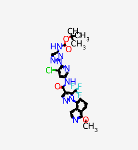 COc1nccc2c(-n3ncc(C(=O)Nc4cnc(-n5ncc(NC(=O)OC(C)(C)C)n5)c(Cl)c4)c3C(F)(F)F)cccc12